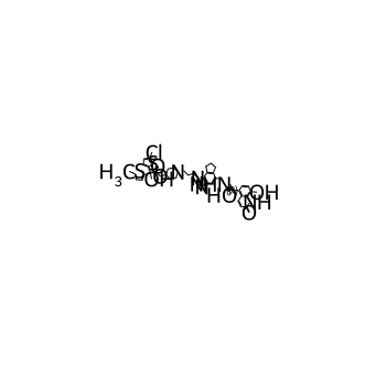 Cc1ccc(C(O)(C(=O)OC2CCN(CCCn3nnc4cc(CNC[C@H](O)c5ccc(O)c6[nH]c(=O)ccc56)c5c(c43)CCC5)CC2)c2ccc(Cl)s2)s1